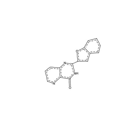 O=c1[nH]c(-c2cc3ccccc3o2)nc2cccnc12